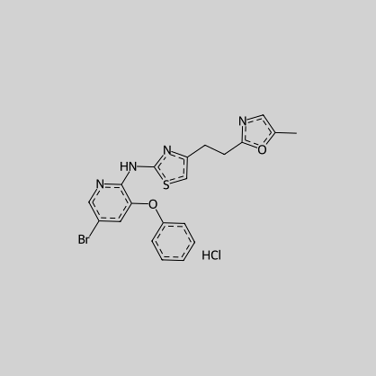 Cc1cnc(CCc2csc(Nc3ncc(Br)cc3Oc3ccccc3)n2)o1.Cl